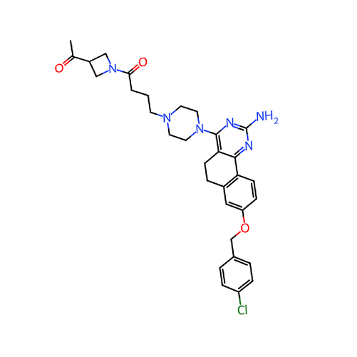 CC(=O)C1CN(C(=O)CCCN2CCN(c3nc(N)nc4c3CCc3cc(OCc5ccc(Cl)cc5)ccc3-4)CC2)C1